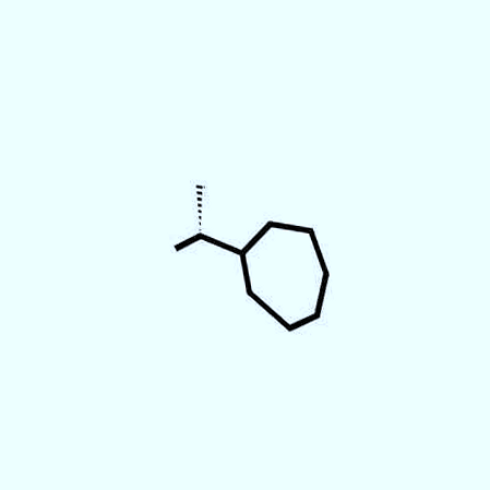 [CH2][C@@H](C)C1CCCCCC1